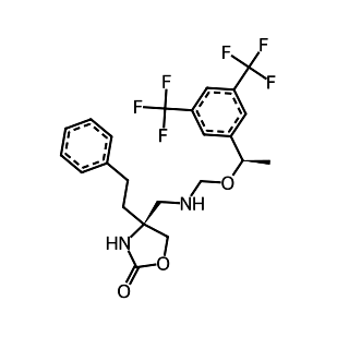 C[C@@H](OCNC[C@@]1(CCc2ccccc2)COC(=O)N1)c1cc(C(F)(F)F)cc(C(F)(F)F)c1